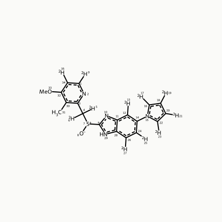 [2H]c1nc(C([2H])([2H])[S+]([O-])c2nc3c([2H])c(-n4c([2H])c([2H])c([2H])c4[2H])c([2H])c([2H])c3[nH]2)c(C)c(OC)c1[2H]